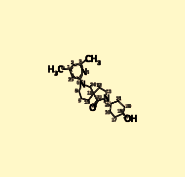 Cc1cc(C)nc(N2CCCC3(CCN([C@H]4CC[C@H](O)CC4)C3=O)C2)c1